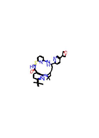 CC(C)(C)c1ccc2c(n1)N1CC(CCC(c3ccc(C4COC4)cn3)Nc3cccc(n3)SNC2=O)CC1(C)C